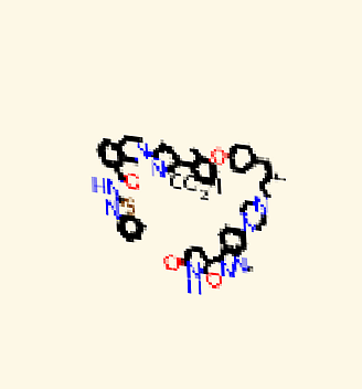 Cc1c(OC2CCC(C[C@H](C)CCN3CCN(c4ccc5c(C6CCC(=O)NC6=O)nn(C)c5c4)CC3)CC2)cccc1-c1ccc(N2CCc3cccc(C(=O)Nc4nc5ccccc5s4)c3C2)nc1C(=O)O